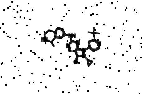 CC1NCCc2ccc(Nc3ncc4c(=O)n(C5CC5)n(-c5ccnc(C(C)(C)C)c5)c4n3)cc21